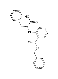 O=C(OCc1ccccc1)c1ccccc1NC(Cc1ccccc1)C(=O)O